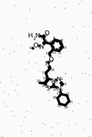 CON=C(C(N)=O)c1ccccc1CON=CCC1=C(C)SC2N1N=CN2C1CCCCC1